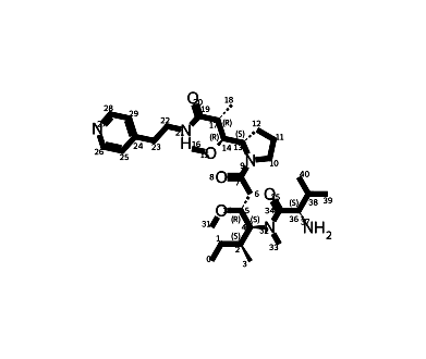 CC[C@H](C)[C@@H]([C@@H](CC(=O)N1CCC[C@H]1[C@H](OC)[C@@H](C)C(=O)NCCc1ccncc1)OC)N(C)C(=O)[C@@H](N)C(C)C